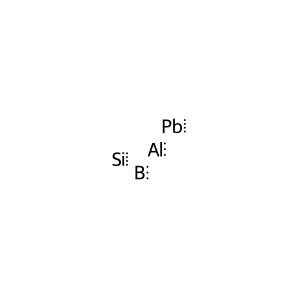 [Al].[B].[Pb].[Si]